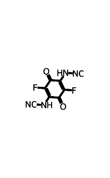 [C-]#[N+]NC1=C(F)C(=O)C(NC#N)=C(F)C1=O